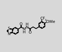 COc1ccc(CCC(=O)NNC(=O)c2ccc3ncsc3c2)cc1C(F)(F)F